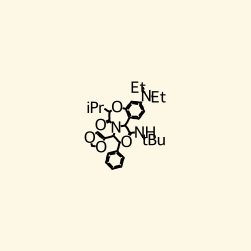 CCN(CC)c1ccc2c(c1)OC(C(C)C)C(=O)N(C(Cc1ccccc1)C1=COCO1)C2C(=O)NC(C)(C)C